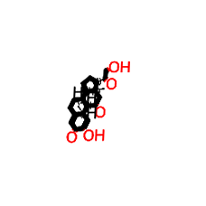 C[C@]12CC(=O)[C@H]3[C@@H](CCC4=CC(=O)C(O)=C[C@@]43C)[C@@H]1CC[C@@H]2C(=O)CO